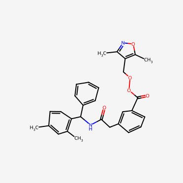 Cc1ccc(C(NC(=O)Cc2cccc(C(=O)OOCc3c(C)noc3C)c2)c2ccccc2)c(C)c1